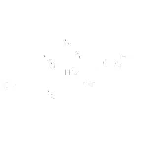 CCC[C@@H](CCO[Si](c1ccccc1)(c1ccccc1)C(C)(C)C)Nc1n[c]nc2cnn(Cc3ccc(CO)c4cccnc34)c12